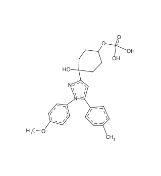 COc1ccc(-n2nc(C3(O)CCC(OP(=O)(O)O)CC3)cc2-c2ccc(C)cc2)cc1